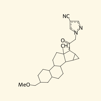 COCC1CCC2C(CCC3C2CCC2(C)C(C(=O)Cn4cc(C#N)cn4)C4CC4C32)C1